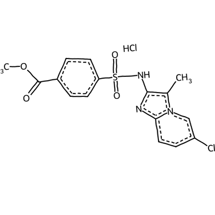 COC(=O)c1ccc(S(=O)(=O)Nc2nc3ccc(Cl)cn3c2C)cc1.Cl